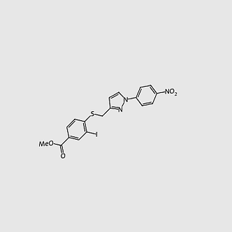 COC(=O)c1ccc(SCc2ccn(-c3ccc([N+](=O)[O-])cc3)n2)c(I)c1